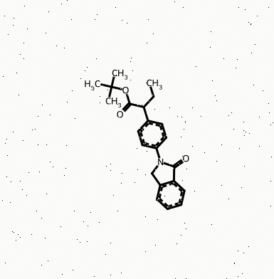 CCC(C(=O)OC(C)(C)C)c1ccc(N2Cc3ccccc3C2=O)cc1